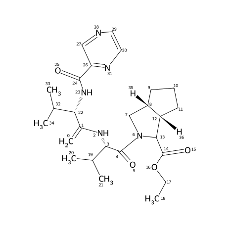 C=C(N[C@H](C(=O)N1C[C@@H]2CCC[C@@H]2C1C(=O)OCC)C(C)C)[C@@H](NC(=O)c1cnccn1)C(C)C